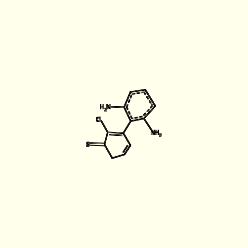 Nc1cccc(N)c1C1=C(Cl)C(=S)CC=C1